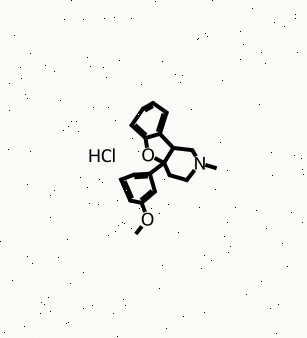 COc1cccc(C23CCN(C)CC2c2ccccc2O3)c1.Cl